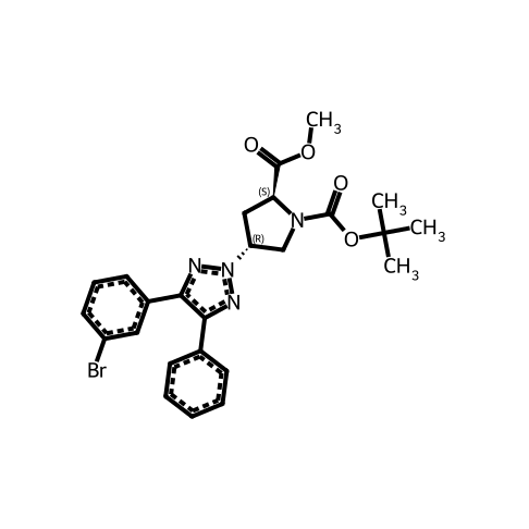 COC(=O)[C@@H]1C[C@@H](n2nc(-c3ccccc3)c(-c3cccc(Br)c3)n2)CN1C(=O)OC(C)(C)C